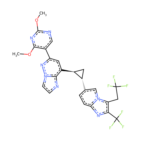 COc1ncc(-c2cc([C@H]3C[C@@H]3c3ccc4nc(C(F)(F)F)c(CC(F)(F)F)n4c3)c3nccn3n2)c(OC)n1